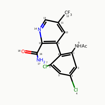 CC(=O)Nc1cc(Cl)cc(Cl)c1-c1cc(C(F)(F)F)cnc1C(N)=O